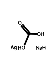 O=C(O)O.[Ag].[NaH]